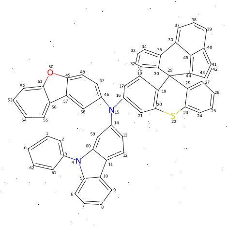 c1ccc(-n2c3ccccc3c3ccc(N(c4ccc5c(c4)Sc4ccccc4C54c5ccccc5-c5cccc6cccc4c56)c4ccc5oc6ccccc6c5c4)cc32)cc1